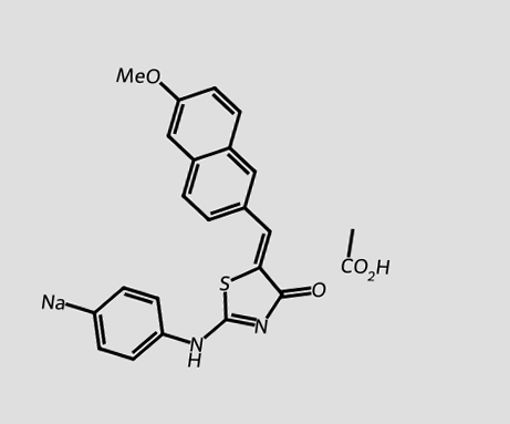 CC(=O)O.COc1ccc2cc(/C=C3\SC(Nc4cc[c]([Na])cc4)=NC3=O)ccc2c1